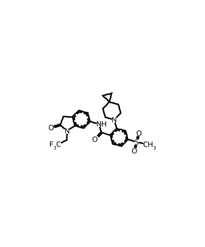 CS(=O)(=O)c1ccc(C(=O)Nc2ccc3c(c2)N(CC(F)(F)F)C(=O)C3)c(N2CCC3(CC2)CC3)c1